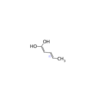 C/C=C/C=C(O)O